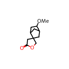 COC1CC2CC1CC21COC(=O)C1